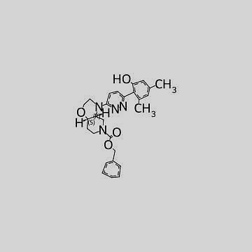 Cc1cc(C)c(-c2ccc(N3CCO[C@H]4CCN(C(=O)OCc5ccccc5)C[C@H]43)nn2)c(O)c1